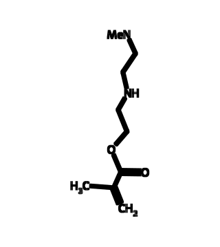 C=C(C)C(=O)OCCNCCNC